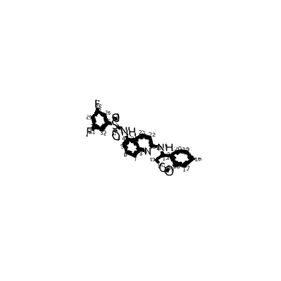 O=S(=O)(Nc1cccc2nc(NC3CCOc4ccccc43)ccc12)c1cc(F)cc(F)c1